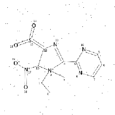 CC[N+]1(C)C(c2ncccn2)=NC(=S(=O)=O)C1[N+](=O)[O-]